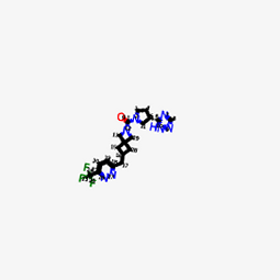 O=C(N1CC[C@H](c2ncn[nH]2)C1)N1CC2(CC(Cc3ccc(C(F)(F)F)nn3)C2)C1